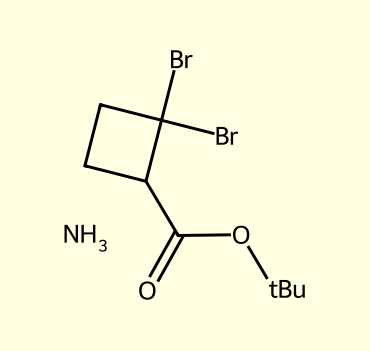 CC(C)(C)OC(=O)C1CCC1(Br)Br.N